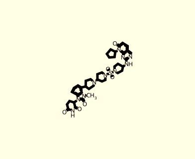 Cn1c(=O)n(C2CCC(=O)NC2=O)c2cccc(C3CCN(C4CCN(S(=O)(=O)N5CCC(Nc6ncc7ccc(=O)n(C8CCCC8)c7n6)CC5)CC4)CC3)c21